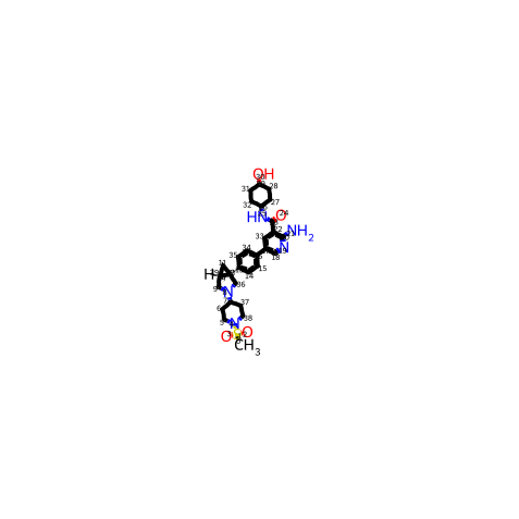 CS(=O)(=O)N1CCC(N2C[C@H]3C[C@@]3(c3ccc(-c4cnc(N)c(C(=O)NC5CCC(O)CC5)c4)cc3)C2)CC1